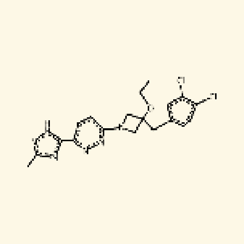 CCOC1(Cc2ccc(Cl)c(Cl)c2)CN(c2ccc(-c3nc(C)n[nH]3)nn2)C1